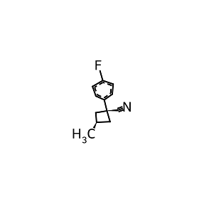 C[C@H]1C[C@](C#N)(c2ccc(F)cc2)C1